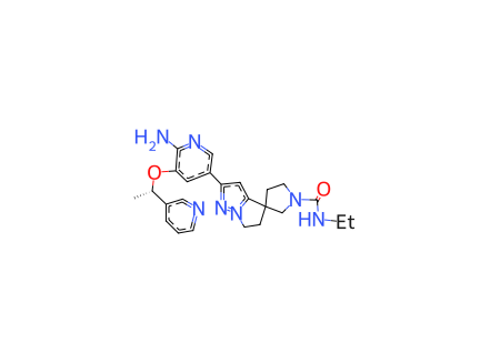 CCNC(=O)N1CCC2(CCn3nc(-c4cnc(N)c(O[C@@H](C)c5cccnc5)c4)cc32)C1